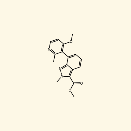 COC(=O)c1c2cccc(-c3c(OC)ccnc3C)c2nn1C